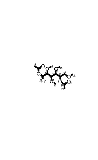 [2H]C(OC(C)=O)C(OC)C(OC)C(OC)C(COC)OC(C)=O